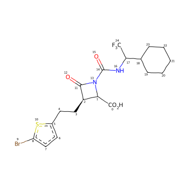 O=C(O)C1[C@@H](CCc2ccc(Br)s2)C(=O)N1C(=O)NC(C1CCCCC1)C(F)(F)F